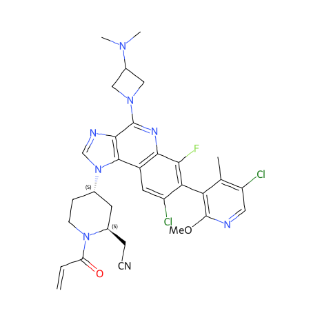 C=CC(=O)N1CC[C@H](n2cnc3c(N4CC(N(C)C)C4)nc4c(F)c(-c5c(OC)ncc(Cl)c5C)c(Cl)cc4c32)C[C@H]1CC#N